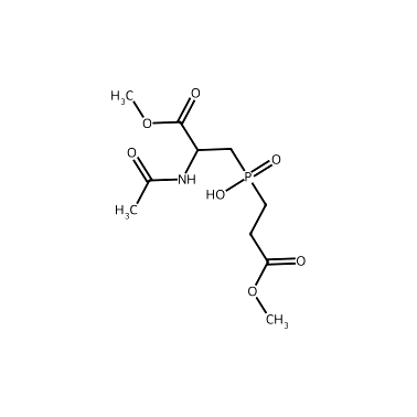 COC(=O)CCP(=O)(O)CC(NC(C)=O)C(=O)OC